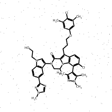 Cc1cc(OCCCc2c3n(c4c(-c5c(C)nn(C)c5C)c(Cl)ccc24)C(C)CN(c2cn(CCO)c4ccc(-c5ncn(C)n5)cc24)C3=O)cc(C)c1Cl